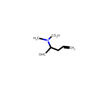 C=CCC(C=O)N(C)C(=O)O